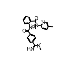 Cc1ccc(NC(=O)c2ccccc2NC(=O)c2ccc(C(=N)N(C)C)cc2)nc1